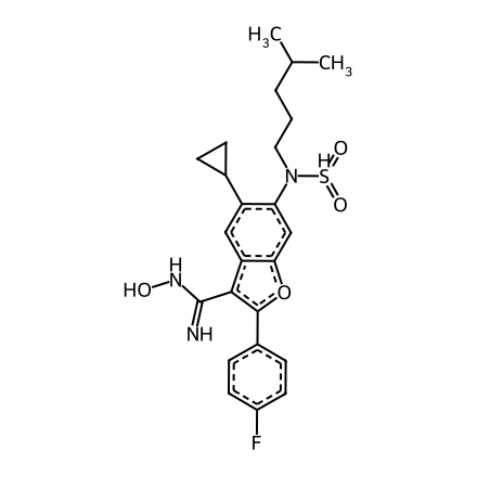 CC(C)CCCN(c1cc2oc(-c3ccc(F)cc3)c(C(=N)NO)c2cc1C1CC1)[SH](=O)=O